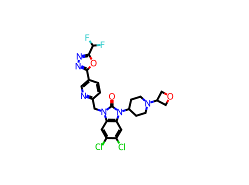 O=c1n(Cc2ccc(-c3nnc(C(F)F)o3)cn2)c2cc(Cl)c(Cl)cc2n1C1CCN(C2COC2)CC1